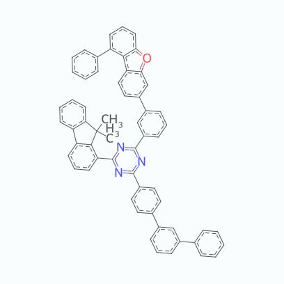 CC1(C)c2ccccc2-c2cccc(-c3nc(-c4ccc(-c5cccc(-c6ccccc6)c5)cc4)nc(-c4cccc(-c5ccc6c(c5)oc5cccc(-c7ccccc7)c56)c4)n3)c21